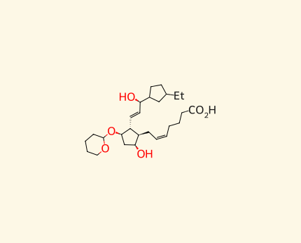 CCC1CCC([C@H](O)/C=C/[C@@H]2[C@@H](C/C=C\CCCC(=O)O)[C@@H](O)C[C@H]2OC2CCCCO2)C1